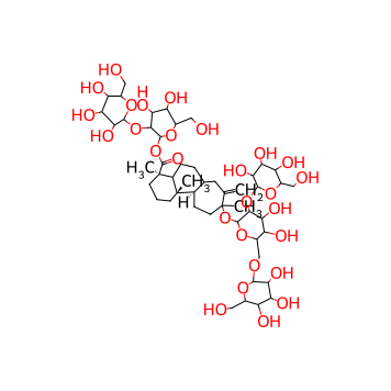 C=C1CC2CCC3[C@](C)(C(=O)OC4OC(CO)C(O)C(O)C4OC4OC(CO)C(O)C(O)C4O)CCC[C@@]3(C)[C@@H]2CCC1(C)OC1OC(COC2OC(CO)C(O)C(O)C2O)C(O)C(O)C1OC1OC(CO)C(O)C(O)C1O